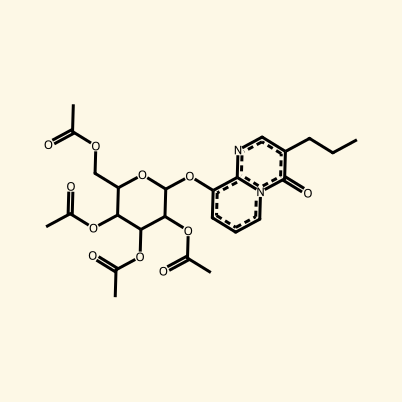 CCCc1cnc2c(OC3OC(COC(C)=O)C(OC(C)=O)C(OC(C)=O)C3OC(C)=O)cccn2c1=O